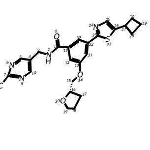 O=C(NCc1cnc(C(F)(F)F)nc1)c1cc(OC[C@@H]2CCCO2)cc(-c2ncc(C3CCC3)s2)c1